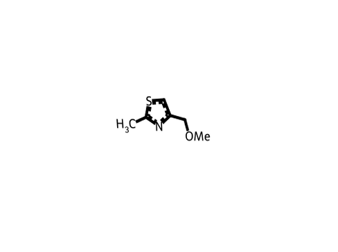 [CH2]OCc1csc(C)n1